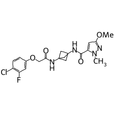 COc1cc(C(=O)NC23CC(NC(=O)COc4ccc(Cl)c(F)c4)(C2)C3)n(C)n1